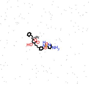 CCC[C@]1(CCc2ccccc2)CC(O)=C(CCCc2cccc(NS(=O)(=O)c3ccc(N)cn3)c2)C(=O)O1